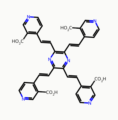 O=C(O)c1cnccc1C=Cc1nc(C=Cc2ccncc2C(=O)O)c(C=Cc2ccncc2C(=O)O)nc1C=Cc1ccncc1C(=O)O